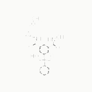 CNC(=O)c1cc(C(=O)N[C@H]2C[C@@H]2COC)cc2c1OCC2(CO)c1ccccc1